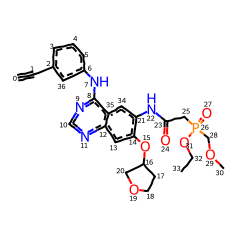 C#Cc1cccc(Nc2ncnc3cc(OC4CCOC4)c(NC(=O)CP(=O)(COC)OCC)cc23)c1